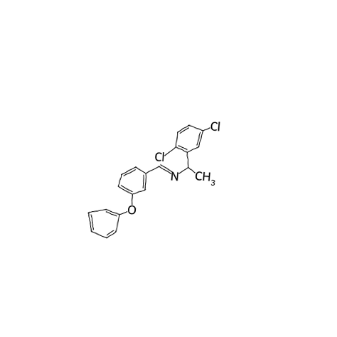 CC(N=Cc1cccc(Oc2ccccc2)c1)c1cc(Cl)ccc1Cl